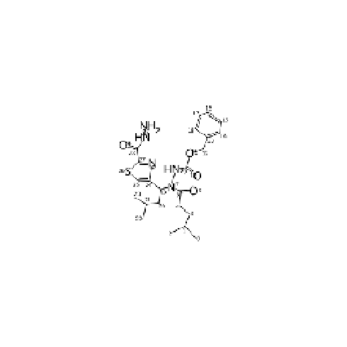 CC(C)CCC(=O)N(NC(=O)OCc1ccccc1)C(CC(C)C)c1csc(C(=O)NN)n1